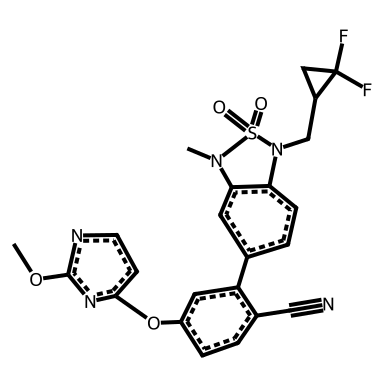 COc1nccc(Oc2ccc(C#N)c(-c3ccc4c(c3)N(C)S(=O)(=O)N4CC3CC3(F)F)c2)n1